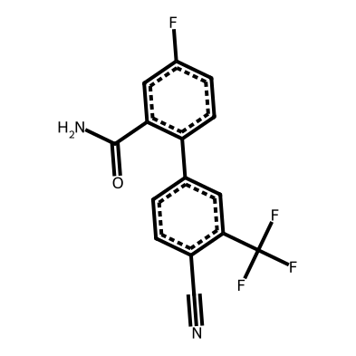 N#Cc1ccc(-c2ccc(F)cc2C(N)=O)cc1C(F)(F)F